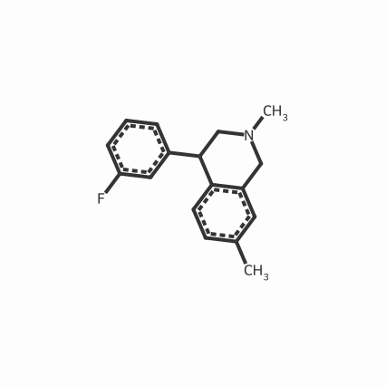 Cc1ccc2c(c1)CN(C)CC2c1cccc(F)c1